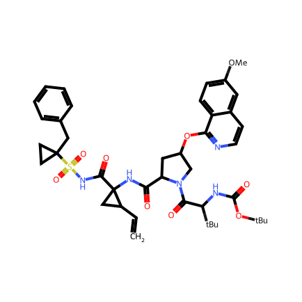 C=CC1CC1(NC(=O)C1CC(Oc2nccc3cc(OC)ccc23)CN1C(=O)C(NC(=O)OC(C)(C)C)C(C)(C)C)C(=O)NS(=O)(=O)C1(Cc2ccccc2)CC1